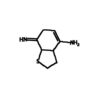 N=C1CC=C(N)C2CCSC12